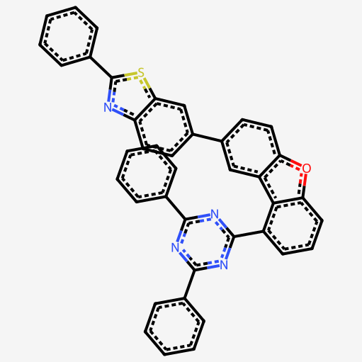 c1ccc(-c2nc(-c3ccccc3)nc(-c3cccc4oc5ccc(-c6ccc7nc(-c8ccccc8)sc7c6)cc5c34)n2)cc1